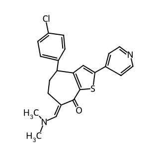 CN(C)C=C1CCC(c2ccc(Cl)cc2)c2cc(-c3ccncc3)sc2C1=O